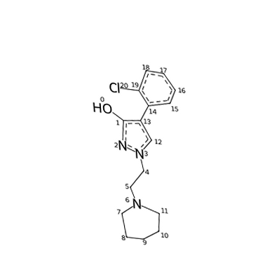 Oc1nn(CCN2CCCCC2)cc1-c1ccccc1Cl